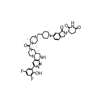 C[C@@H]1CN(CC2CCN(c3ccc4c(c3)C(=O)N([C@@H]3CCC(=O)NC3=O)C4)CC2)C[C@H](C)N1C(=O)N1CCN2c3cc(-c4cc(F)cc(F)c4O)nnc3NC[C@]2(C)C1